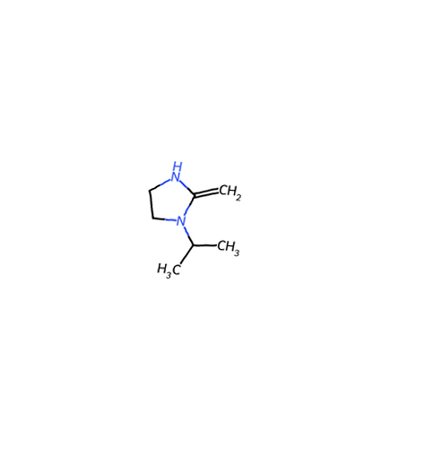 C=C1NCCN1C(C)C